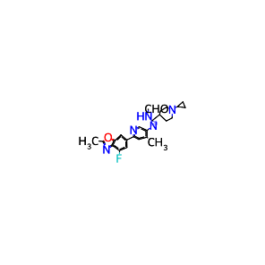 Cc1nc2c(F)cc(-c3cc(C)c(/N=C(\NC=O)C4CCN(C5CC5)CC4)cn3)cc2o1